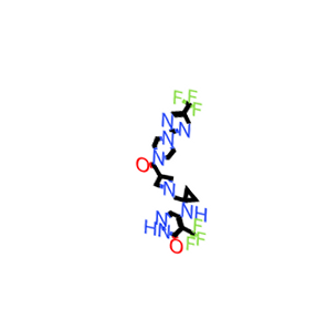 O=C(C1CN(CC2(Nc3cn[nH]c(=O)c3C(F)(F)F)CC2)C1)N1CCN(c2ncc(C(F)(F)F)cn2)CC1